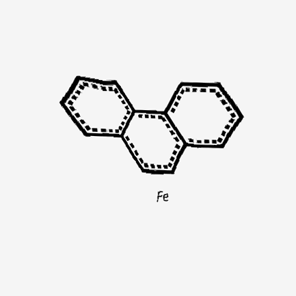 [Fe].c1ccc2c(c1)ccc1ccccc12